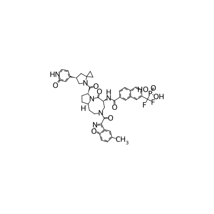 Cc1ccc2onc(C(=O)N3CC[C@H]4CC[C@@H](C(=O)N5C[C@@H](c6cc[nH]c(=O)c6)CC56CC6)N4C(=O)[C@@H](NC(=O)c4ccc5ccc(C(F)(F)P(=O)(O)O)cc5c4)C3)c2c1